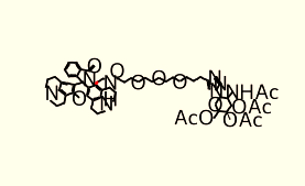 CC(=O)NC1[C@H](OC(C)=O)[C@@H](OC(C)=O)C(COC(C)=O)O[C@@H]1n1cc(CCCOCCOCCOCCC(=O)NCCN2C(=O)c3ccccc3C23c2cc4c5c(c2Oc2c3cc3c6c2CCCN6CCC3)CCCN5CCC4)nn1